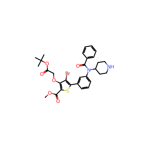 COC(=O)c1sc(-c2cccc(N(C(=O)c3ccccc3)C3CCNCC3)c2)c(Br)c1OCC(=O)OC(C)(C)C